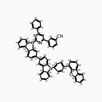 N#Cc1cccc(-c2cc(-c3ccccc3)nc(-n3c4ccccc4c4ccc(-c5ccc6c(c5)c5ccccc5n6-c5ccc(-c6cccc7c6oc6ccccc67)cc5)cc43)n2)c1